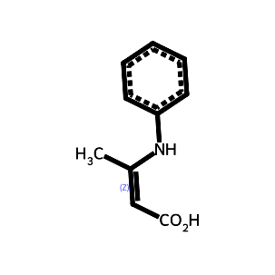 C/C(=C/C(=O)O)Nc1ccccc1